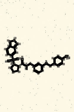 O=C(NCc1cccc(OCc2ccc(C(F)(F)F)cc2)c1)[C@@H]1CCCN1S(=O)(=O)c1ccc2nsnc2c1